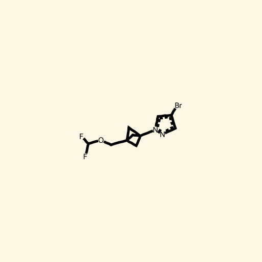 FC(F)OCC12CC(n3cc(Br)cn3)(C1)C2